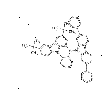 CC(C)(C)c1ccc2c(c1)c1cc(C(C)(C)C)cc3c1n2-c1ccccc1B3n1c2cc(-c3ccccc3)ccc2c2ccc(-c3ccccc3)cc21